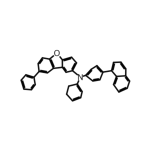 C1=CCCC(N(c2ccc(-c3cccc4ccccc34)cc2)c2ccc3oc4ccc(-c5ccccc5)cc4c3c2)=C1